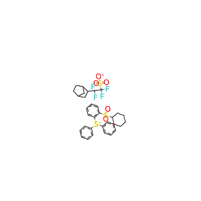 O=S(=O)([O-])C(F)(F)C(F)(F)C1CC2CCC1C2.O=S(=O)(c1ccccc1[S+](c1ccccc1)c1ccccc1)C1CCCCC1